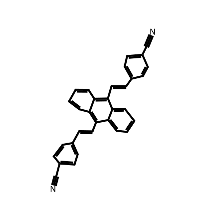 N#Cc1ccc(C=Cc2c3ccccc3c(C=Cc3ccc(C#N)cc3)c3ccccc23)cc1